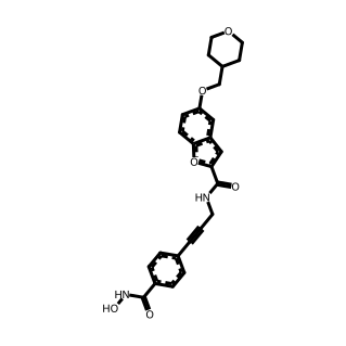 O=C(NO)c1ccc(C#CCNC(=O)c2cc3cc(OCC4CCOCC4)ccc3o2)cc1